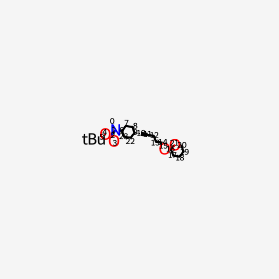 CN(C(=O)OC(C)(C)C)[C@H]1CC[C@H](C#CCCCOC2CCCCO2)CC1